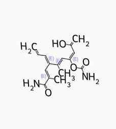 C=C/C=C(\C=C(/C)C(N)=O)C(/C)=C/C(=C\C(=C)O)OC(N)=O